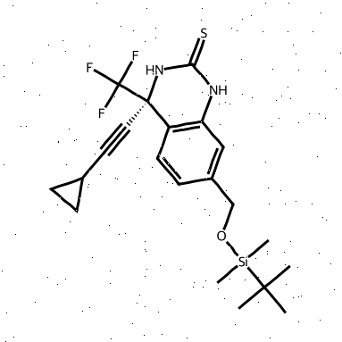 CC(C)(C)[Si](C)(C)OCc1ccc2c(c1)NC(=S)N[C@]2(C#CC1CC1)C(F)(F)F